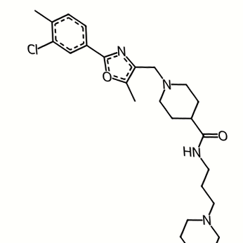 Cc1ccc(-c2nc(CN3CCC(C(=O)NCCCN4CCCCC4)CC3)c(C)o2)cc1Cl